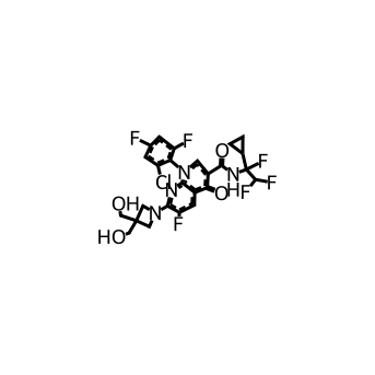 O=C(NC(F)(C(F)F)C1CC1)c1cn(-c2c(F)cc(F)cc2Cl)c2nc(N3CC(CO)(CO)C3)c(F)cc2c1=O